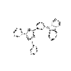 C1=CC2c3ccccc3N(c3cccc(-c4nc(-c5ccccc5)nc(-c5ccccc5)n4)c3)C2C=C1